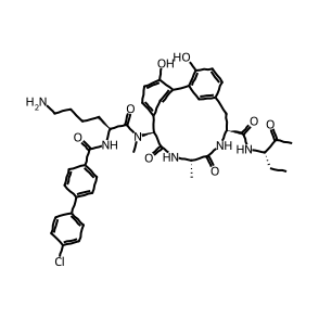 CC[C@H](NC(=O)[C@@H]1Cc2ccc(O)c(c2)-c2cc(ccc2O)[C@H](N(C)C(=O)[C@H](CCCCN)NC(=O)c2ccc(-c3ccc(Cl)cc3)cc2)C(=O)N[C@@H](C)C(=O)N1)C(C)=O